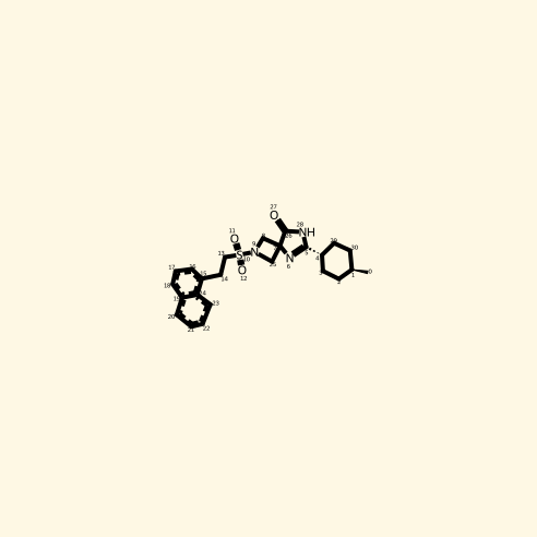 C[C@H]1CC[C@H](C2=NC3(CN(S(=O)(=O)CCc4cccc5ccccc45)C3)C(=O)N2)CC1